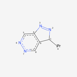 CC(C)C1N=Nc2cnncc21